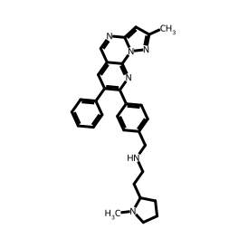 Cc1cc2ncc3cc(-c4ccccc4)c(-c4ccc(CNCCC5CCCN5C)cc4)nc3n2n1